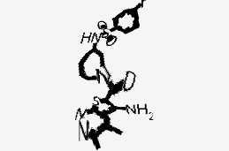 Cc1nnc2sc(C(=O)N3CCC(NS(=O)(=O)c4ccc(F)cc4)C3)c(N)c2c1C